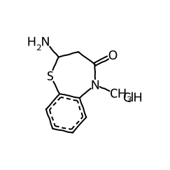 CN1C(=O)CC(N)Sc2ccccc21.Cl